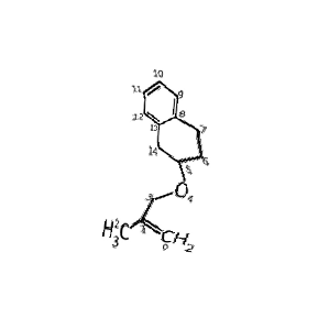 C=C(C)COC1CCc2ccccc2C1